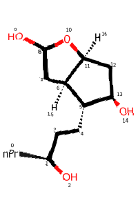 CCC[C@H](O)CC[C@@H]1[C@H]2CC(O)O[C@H]2C[C@H]1O